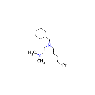 CC(C)CCCCN(CCN(C)C)CC1CCCCC1